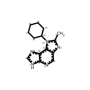 Cc1nc2cnc3[nH]cnc3c2n1C1CCCCC1